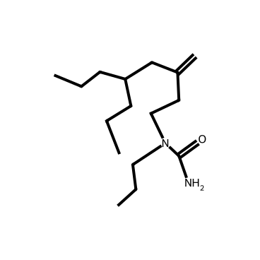 C=C(CCN(CCC)C(N)=O)CC(CCC)CCC